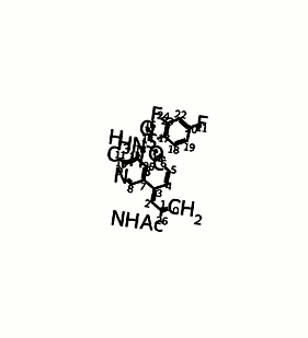 C=C(/C=C(\C=C/C)c1cnc(C)c(NS(=O)(=O)c2ccc(F)cc2F)c1)NC(C)=O